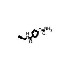 C#CCNC(=O)c1ccc(OC(N)=O)cc1